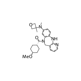 CO[C@H]1CC[C@H](C(=O)N2Cc3cccnc3Nc3ccc(N(C)C4(C)COC4)cc32)CC1